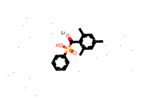 Cc1cc(C)c(C(=O)P(=O)(O)c2ccccc2)c(C)c1.[Li]